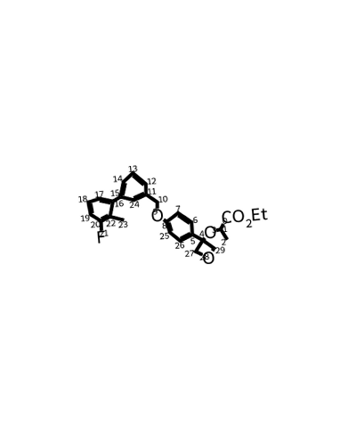 CCOC(=O)C(C)OC1(c2ccc(OCc3cccc(-c4cccc(F)c4C)c3)cc2)COC1